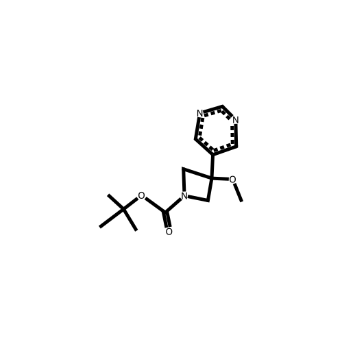 COC1(c2cncnc2)CN(C(=O)OC(C)(C)C)C1